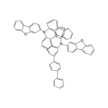 c1ccc(-c2ccc(-c3cccc(N(c4ccc5c(c4)oc4ccccc45)c4ccccc4-c4ccccc4N(c4ccc5c(c4)oc4ccccc45)c4cccc5c4sc4ccccc45)c3)cc2)cc1